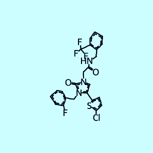 O=C(Cn1cc(-c2ccc(Cl)s2)n(Cc2ccccc2F)c1=O)NCc1ccccc1C(F)(F)F